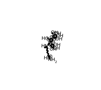 CC(CCCCCCC(=O)NN)NCCO[C@@H]1O[C@H](CO)[C@H](O)[C@H](O[C@H]2O[C@H](CO)[C@H](O)[C@H](O)[C@H]2O)[C@H]1O[C@H]1O[C@H](C)[C@H](O)[C@H](O)[C@H]1O